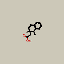 CC1c2ccccc2C=CC1(C)CC(=O)O